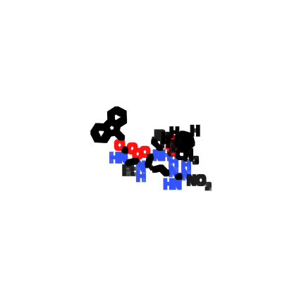 CCC(NC(=O)OCC1c2ccccc2-c2ccccc21)C(=O)N[C@@H](CCCNC(=N)N[N+](=O)[O-])C(=O)N[C@@H](CC(C)C)B1O[C@@H]2C[C@@H]3C[C@@H](C3(C)C)[C@]2(C)O1